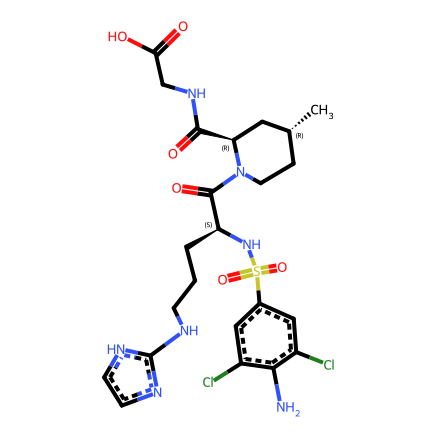 C[C@@H]1CCN(C(=O)[C@H](CCCNc2ncc[nH]2)NS(=O)(=O)c2cc(Cl)c(N)c(Cl)c2)[C@@H](C(=O)NCC(=O)O)C1